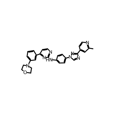 Cc1cc(-c2ncn(-c3ccc(Nc4nccc(-c5cccc(N6CCOCC6)c5)n4)cc3)n2)ccn1